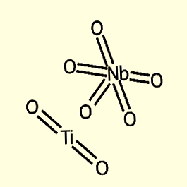 [O]=[Nb](=[O])(=[O])(=[O])=[O].[O]=[Ti]=[O]